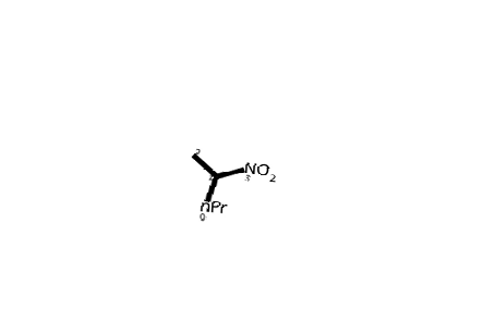 [CH2]CCC(C)[N+](=O)[O-]